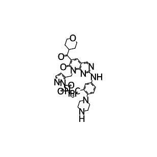 Cc1cc(Nc2ncc3cc(C(=O)C4CCOCC4)c(=O)n(Cc4ccnn4S(=O)(=O)C(C)C)c3n2)ccc1N1CCNCC1